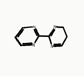 C1=NC(c2ncccn2)=NCC1